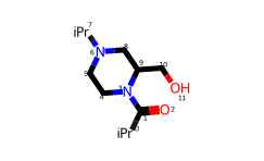 CC(C)C(=O)N1CCN(C(C)C)CC1CO